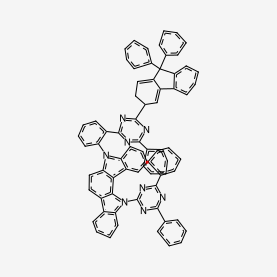 C1=C2C(=CCC1c1nc(-c3ccccc3)nc(-c3ccccc3-n3c4ccccc4c4c3ccc3c5ccccc5n(-c5nc(-c6ccccc6)nc(-c6ccccc6)n5)c34)n1)C(c1ccccc1)(c1ccccc1)c1ccccc12